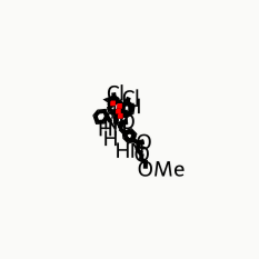 COCCONC(=O)c1ccc(NC(=O)[C@@H]2NC3(CCCCC3)[C@]34C(=O)Nc5cc(Cl)c(cc53)-c3c(Cl)cccc3[C@@H]24)cc1